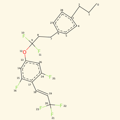 CCCc1ccc(CCC(F)(F)Oc2cc(F)c(/C=C/C(F)(F)F)c(F)c2)cc1